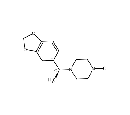 C[C@@H](c1ccc2c(c1)OCO2)N1CCN(Cl)CC1